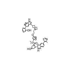 Cc1ncsc1-c1ccc([C@H](C)NC(=O)[C@@H]2C[C@@H](O)CN2C(=O)[C@@H](c2cc(OCCN3CCC34CC(c3c[nH]c5nnc(-c6ccccc6O)cc35)C4)no2)C(C)C)cc1